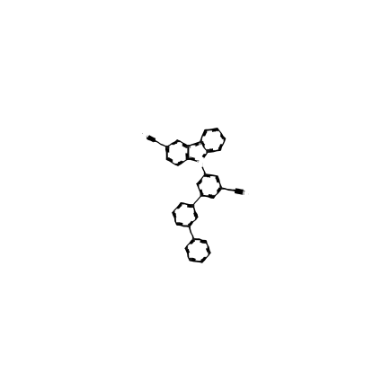 N#Cc1cc(-c2cccc(-c3ccccc3)c2)cc(-n2c3ccccc3c3cc(C#N)ccc32)c1